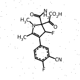 CC1=C(c2ccc(F)c(C#N)c2)C(F)C(C(N)=O)(C(=O)C(=O)O)N1C